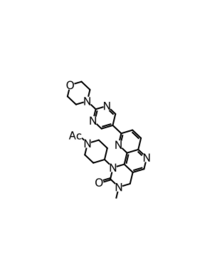 CC(=O)N1CCC(N2C(=O)N(C)Cc3cnc4ccc(-c5cnc(N6CCOCC6)nc5)nc4c32)CC1